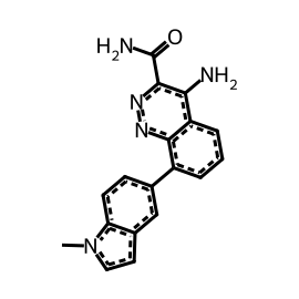 Cn1ccc2cc(-c3cccc4c(N)c(C(N)=O)nnc34)ccc21